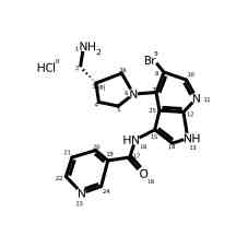 Cl.NC[C@H]1CCN(c2c(Br)cnc3[nH]cc(NC(=O)c4cccnc4)c23)C1